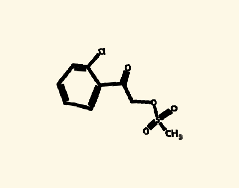 CS(=O)(=O)OCC(=O)c1ccccc1Cl